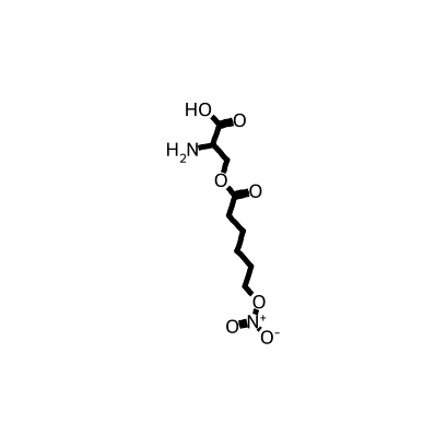 NC(COC(=O)CCCCCO[N+](=O)[O-])C(=O)O